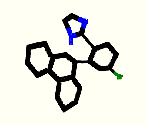 Brc1ccc(-c2ncc[nH]2)c(-c2cc3ccccc3c3ccccc23)c1